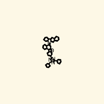 c1ccc(-c2nc(-c3ccccc3)nc(-c3ccc4c(c3)oc3cc(-n5c6ccccc6c6cc7ccccc7cc65)c5ccccc5c34)n2)cc1